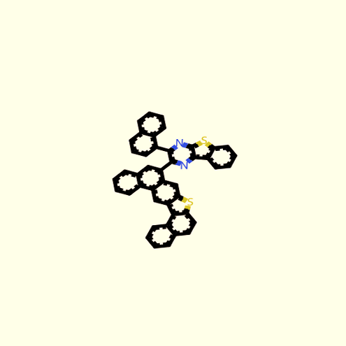 c1ccc2c(-c3nc4sc5ccccc5c4nc3-c3cc4ccccc4c4cc5c(cc34)sc3ccc4ccccc4c35)cccc2c1